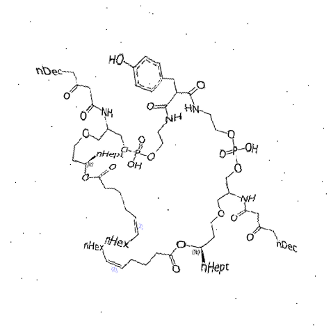 CCCCCC/C=C\CCCC(=O)O[C@H](CCCCCCC)CCOCC(COP(=O)(O)OCCNC(=O)C(Cc1ccc(O)cc1)C(=O)NCCOP(=O)(O)OCC(COCC[C@@H](CCCCCCC)OC(=O)CCC/C=C\CCCCCC)NC(=O)CC(=O)CCCCCCCCCCC)NC(=O)CC(=O)CCCCCCCCCCC